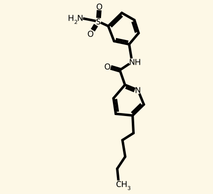 CCCCCc1ccc(C(=O)Nc2cccc(S(N)(=O)=O)c2)nc1